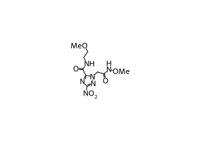 COCCNC(=O)c1nc([N+](=O)[O-])nn1CC(=O)NOC